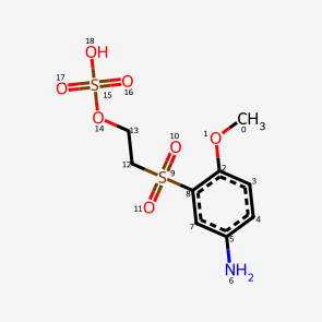 COc1ccc(N)cc1S(=O)(=O)CCOS(=O)(=O)O